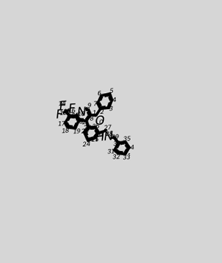 O=C(c1ccccc1)c1cnc2c(C(F)(F)F)cccc2c1-c1cccc(CNCc2cc[c]cc2)c1